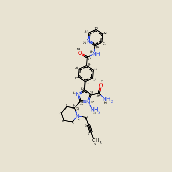 CC#CCN1CCCC[C@H]1c1nc(-c2ccc(C(=O)Nc3ccccn3)cc2)c(C(N)=O)n1N